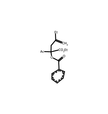 C=C(CC)CC(OC(=O)c1ccccc1)(C(C)=O)C(=O)OCC